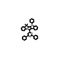 CC1(C)c2ccccc2-n2c(-c3cc(-c4ccccc4)nc(-c4ccccc4)n3)c3c4ccccc4n(-c4ccccc4)c3c21